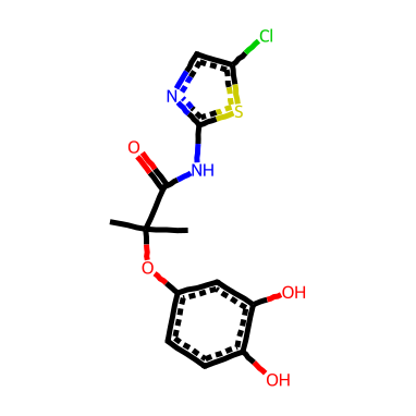 CC(C)(Oc1ccc(O)c(O)c1)C(=O)Nc1ncc(Cl)s1